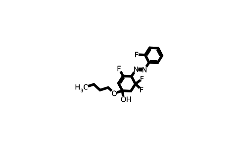 CCCCOC1(O)C=C(F)C(N=Nc2ccccc2F)C(F)(F)C1